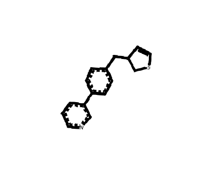 C1=CC(Cc2ccc(-c3cccnc3)cc2)CS1